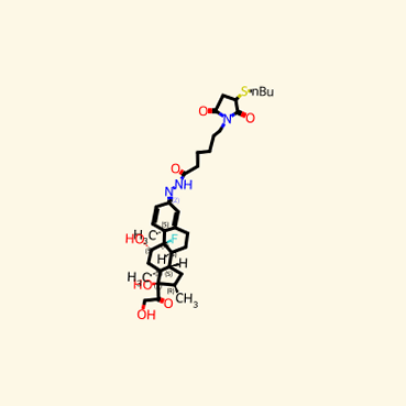 CCCCSC1CC(=O)N(CCCCCC(=O)N/N=C2/C=C[C@@]3(C)C(=C2)CC[C@H]2[C@@H]4C[C@@H](C)[C@](O)(C(=O)CO)[C@@]4(C)C[C@H](O)[C@@]23F)C1=O